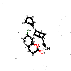 C#Cc1cc2ccc1-2.O=c1ccc2ccc(F)cc2o1.c1cc2cc-2c1